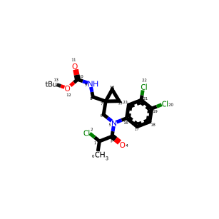 CC(Cl)C(=O)N(CC1(CNC(=O)OC(C)(C)C)CC1)c1ccc(Cl)c(Cl)c1